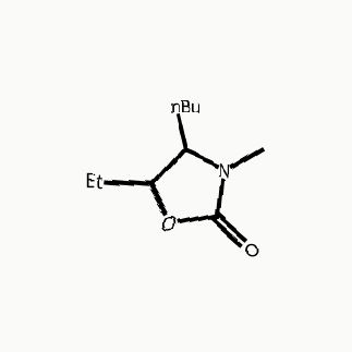 CCCCC1C(CC)OC(=O)N1C